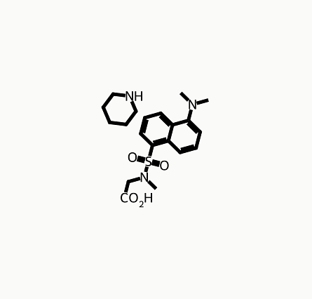 C1CCNCC1.CN(C)c1cccc2c(S(=O)(=O)N(C)CC(=O)O)cccc12